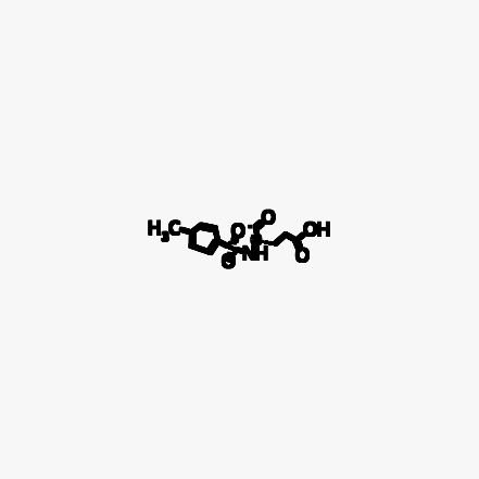 Cc1ccc(S(=O)(=O)N[C@H]([C]=O)CCC(=O)O)cc1